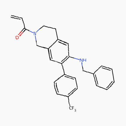 C=CC(=O)N1CCc2cc(NCc3ccccc3)c(-c3ccc(C(F)(F)F)cc3)cc2C1